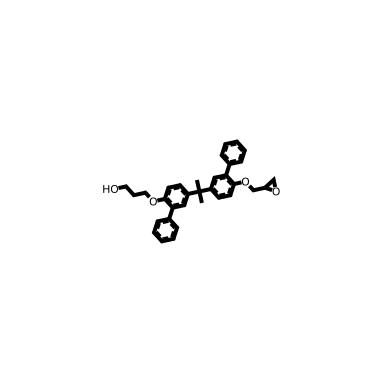 CC(C)(c1ccc(OCCCO)c(-c2ccccc2)c1)c1ccc(OCC2CO2)c(-c2ccccc2)c1